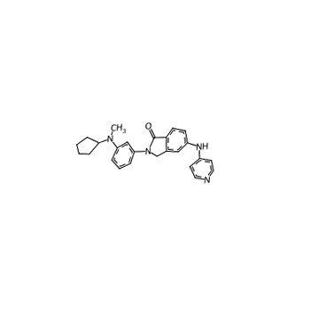 CN(c1cccc(N2Cc3cc(Nc4ccncc4)ccc3C2=O)c1)C1CCCC1